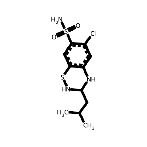 CC(C)CC1NSc2cc(S(N)(=O)=O)c(Cl)cc2N1